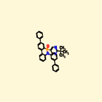 CC(C)(C)c1ncc(P2(=O)c3cc(-c4ccccc4)ccc3-c3ccccc3N2c2cccc(-c3ccccc3)c2)cn1